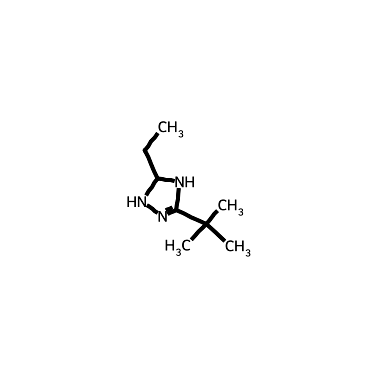 CCC1NN=C(C(C)(C)C)N1